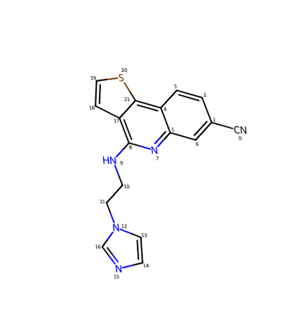 N#Cc1ccc2c(c1)nc(NCCn1ccnc1)c1ccsc12